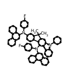 CC1(C)c2cc(N(c3ccc(F)cc3)c3cc4ccccc4c4ccccc34)ccc2-c2c1cc1c(c2N(c2ccc(F)cc2)c2cc3ccccc3c3ccccc23)c2ccccc2n1-c1ccccc1